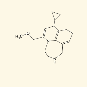 COCC1=CC(C2CC2)C2=C3C(=CCC2)CNCCN13